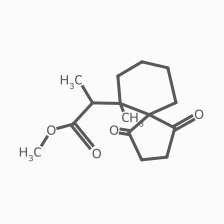 COC(=O)C(C)C1(C)CCCCC12C(=O)CCC2=O